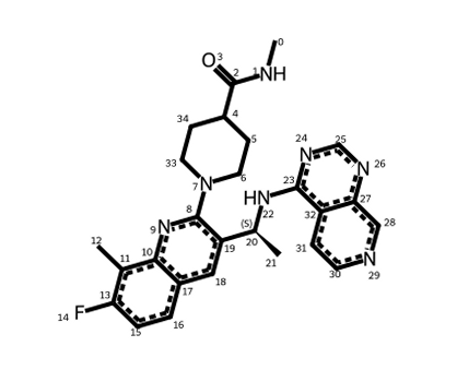 CNC(=O)C1CCN(c2nc3c(C)c(F)ccc3cc2[C@H](C)Nc2ncnc3cnccc23)CC1